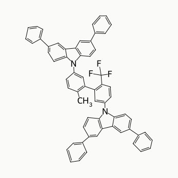 Cc1ccc(-n2c3ccc(-c4ccccc4)cc3c3cc(-c4ccccc4)ccc32)cc1-c1cc(-n2c3ccc(-c4ccccc4)cc3c3cc(-c4ccccc4)ccc32)ccc1C(F)(F)F